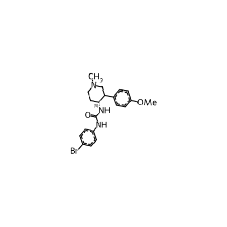 COc1ccc(C2CN(C)CC[C@H]2NC(=O)Nc2ccc(Br)cc2)cc1